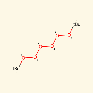 CC(C)(C)OOOOOOC(C)(C)C